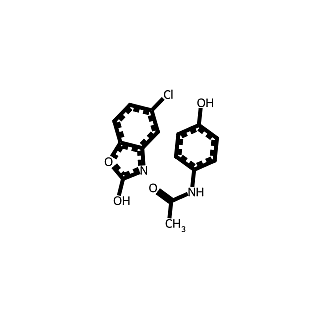 CC(=O)Nc1ccc(O)cc1.Oc1nc2cc(Cl)ccc2o1